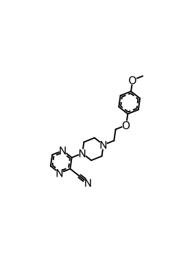 COc1ccc(OCCN2CCN(c3nccnc3C#N)CC2)cc1